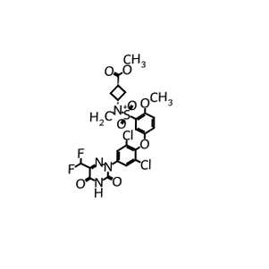 C=[N+]([C@H]1C[C@H](C(=O)OC)C1)S(=O)(=O)c1cc(Oc2c(Cl)cc(-n3nc(C(F)F)c(=O)[nH]c3=O)cc2Cl)ccc1OC